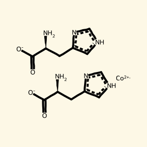 N[C@@H](Cc1c[nH]cn1)C(=O)[O-].N[C@@H](Cc1c[nH]cn1)C(=O)[O-].[Co+2]